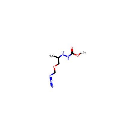 CC(COCN=[N+]=[N-])NNC(=O)OC(C)(C)C